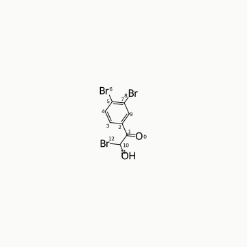 O=C(c1ccc(Br)c(Br)c1)C(O)Br